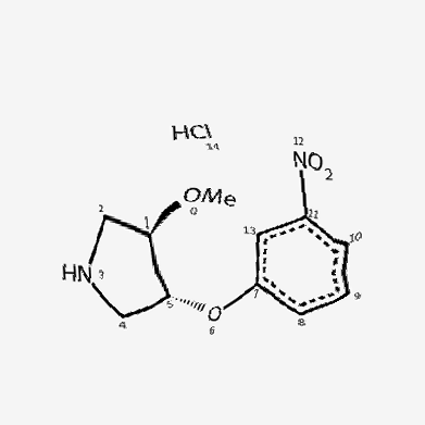 CO[C@@H]1CNC[C@H]1Oc1cccc([N+](=O)[O-])c1.Cl